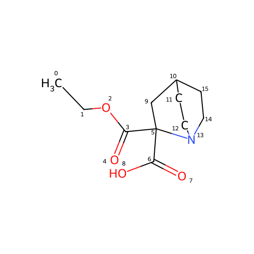 CCOC(=O)C1(C(=O)O)CC2CCN1CC2